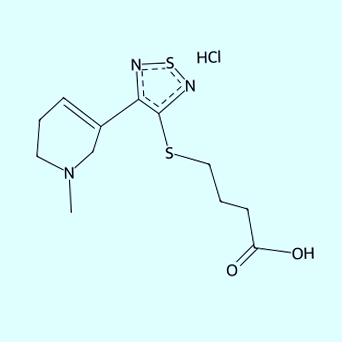 CN1CCC=C(c2nsnc2SCCCC(=O)O)C1.Cl